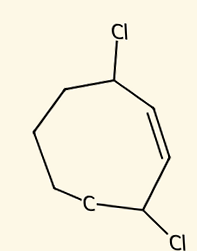 ClC1C=CC(Cl)CCCC1